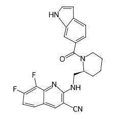 N#Cc1cc2ccc(F)c(F)c2nc1NC[C@@H]1CCCCN1C(=O)c1ccc2cc[nH]c2c1